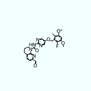 COc1cc(OC)c(F)c(COc2cnc(NC(=O)N3CCCc4ccc(C=O)nc43)nc2)c1C